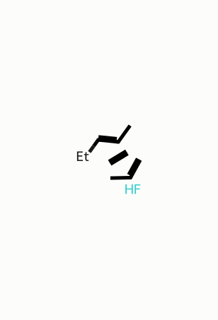 C=C.C=CC.CC=CCC.F